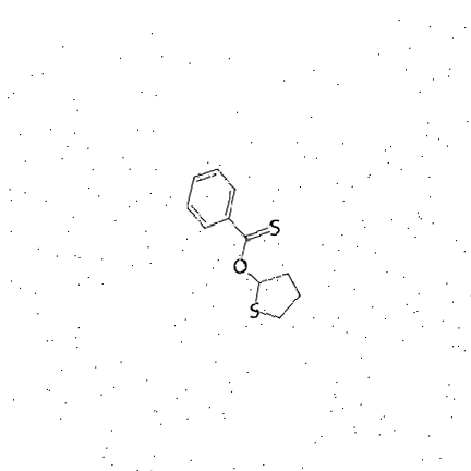 S=C(OC1CCCS1)c1ccccc1